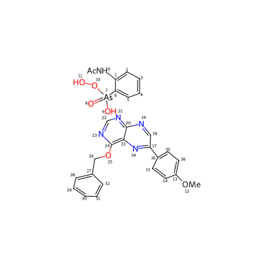 CC(=O)Nc1ccccc1[As](=O)(O)OO.COc1ccc(-c2cnc3ncnc(OCc4ccccc4)c3n2)cc1